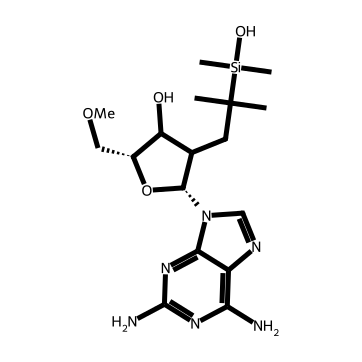 COC[C@H]1O[C@@H](n2cnc3c(N)nc(N)nc32)C(CC(C)(C)[Si](C)(C)O)C1O